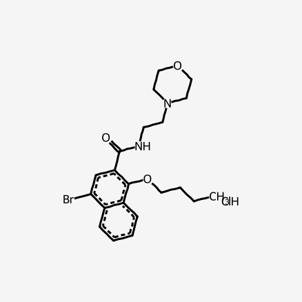 CCCCOc1c(C(=O)NCCN2CCOCC2)cc(Br)c2ccccc12.Cl